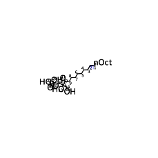 CCCCCCCC/C=C/CCCCCCCC(=O)C(O)(CO)COP(=O)(O)O